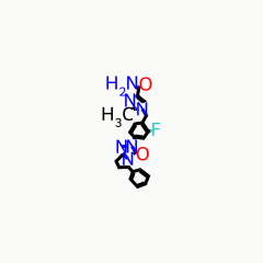 Cc1nc(C(N)=O)cn1Cc1ccc(-n2nc3n(c2=O)C(c2ccccc2)CC3)cc1F